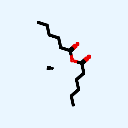 CCCCCC(=O)OC(=O)CCCCC.[Mn]